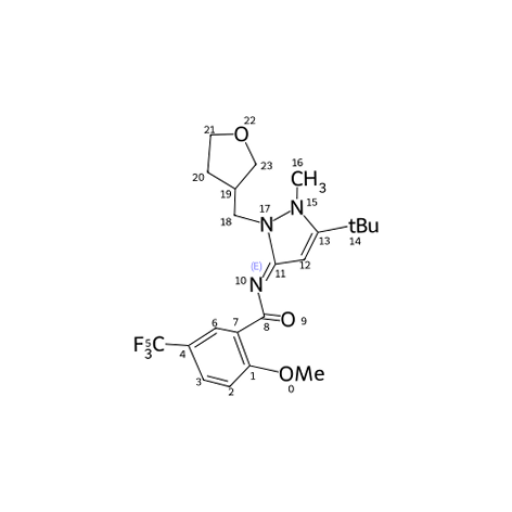 COc1ccc(C(F)(F)F)cc1C(=O)/N=c1\cc(C(C)(C)C)n(C)n1CC1CCOC1